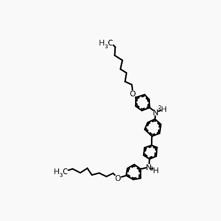 [2H]N(c1ccc(OCCCCCCCC)cc1)c1ccc(-c2ccc(N([2H])c3ccc(OCCCCCCCC)cc3)cc2)cc1